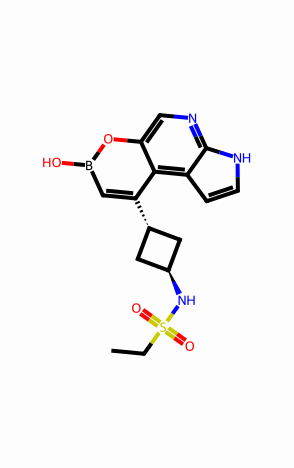 CCS(=O)(=O)N[C@H]1C[C@H](C2=CB(O)Oc3cnc4[nH]ccc4c32)C1